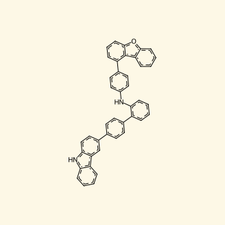 c1ccc(-c2ccc(-c3ccc4[nH]c5ccccc5c4c3)cc2)c(Nc2ccc(-c3cccc4oc5ccccc5c34)cc2)c1